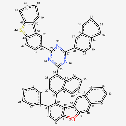 c1ccc(-c2ccc3oc4cc5ccccc5cc4c3c2-c2ccc(-c3nc(-c4ccc5ccccc5c4)nc(-c4ccc5sc6ccccc6c5c4)n3)c3ccccc23)cc1